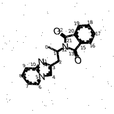 CC(Cc1cn2ccccc2n1)N1C(=O)c2ccccc2C1=O